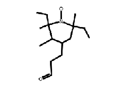 CCC1(C)CC(CCC=O)C(C)C(C)(CC)N1[O]